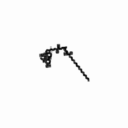 CCCCCCCCC=CCCCCCCCC(=O)NCCN(C)CCNC(=O)CC[C@@H](C)C1CC[C@H]2[C@@H]3[C@H](O)[C@H](CC)[C@@H]4C[C@H](O)CC[C@]4(C)[C@H]3CC[C@]12C